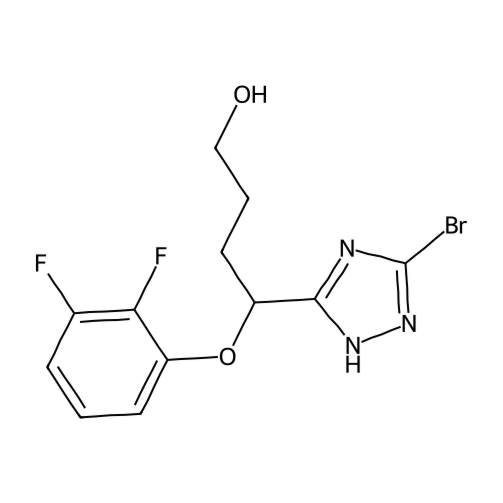 OCCCC(Oc1cccc(F)c1F)c1nc(Br)n[nH]1